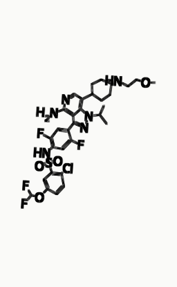 COCCNC1CCC(c2cnc(N)c3c(-c4cc(F)c(NS(=O)(=O)c5cc(OC(F)F)ccc5Cl)cc4F)nn(C(C)C)c23)CC1